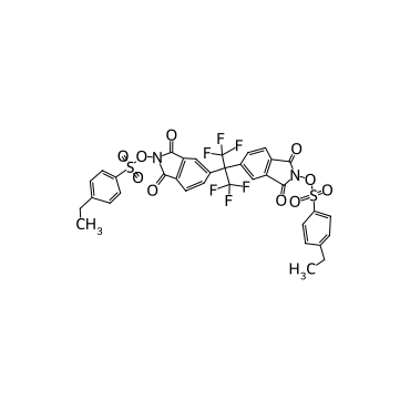 CCc1ccc(S(=O)(=O)ON2C(=O)c3ccc(C(c4ccc5c(c4)C(=O)N(OS(=O)(=O)c4ccc(CC)cc4)C5=O)(C(F)(F)F)C(F)(F)F)cc3C2=O)cc1